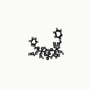 CC(C)(COCc1ccccc1)C(=O)OCCC(OS(=O)(=O)CCCCl)C(C)(C)[C@@H](OCc1ccccc1)C(=O)O